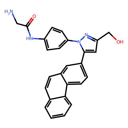 NCC(=O)Nc1ccc(-n2nc(CO)cc2-c2ccc3c(ccc4ccccc43)c2)cc1